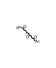 CCCC(=O)CCCCC(=O)CCC(=O)CC(C)=O